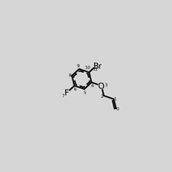 C=CCOc1cc(F)ccc1Br